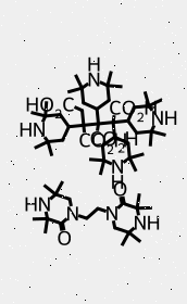 CC1(C)CC(C(CC(=O)O)(C(=O)O)C(C(=O)O)(C2CC(C)(C)NC(C)(C)C2)C(C(=O)O)(C2CC(C)(C)NC(C)(C)C2)C2CC(C)(C)NC(C)(C)C2)CC(C)(C)N1.CC1(C)CN(CCN2CC(C)(C)NC(C)(C)C2=O)C(=O)C(C)(C)N1